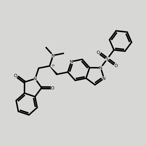 CN(C)[C@@H](Cc1cc2cnn(S(=O)(=O)c3ccccc3)c2cn1)CN1C(=O)c2ccccc2C1=O